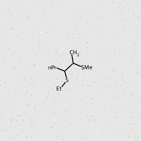 [CH2]C(SC)C(CCC)SCC